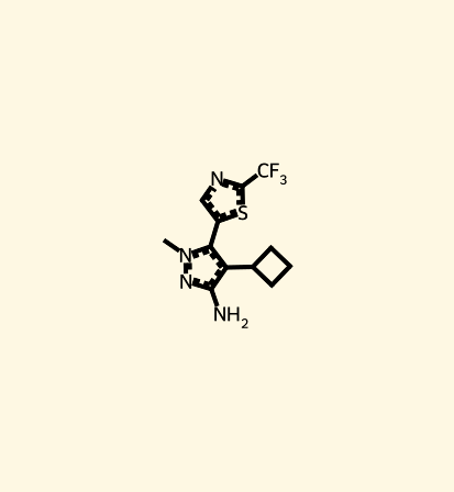 Cn1nc(N)c(C2CCC2)c1-c1cnc(C(F)(F)F)s1